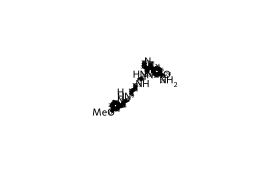 COc1ccc2[nH]c(CNCCCCNCCNc3nc4cc(C(N)=O)ccc4c4cnccc34)cc2c1